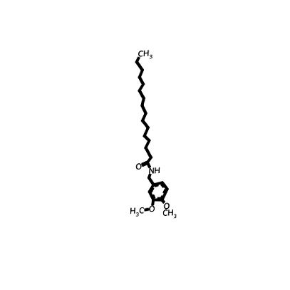 CCCCCCCCCCCCCCCC(=O)NCc1ccc(OC)c(OC)c1